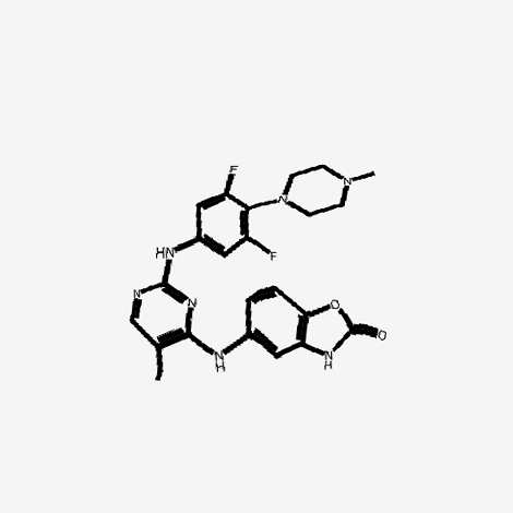 Cc1cnc(Nc2cc(F)c(N3CCN(C)CC3)c(F)c2)nc1Nc1ccc2oc(=O)[nH]c2c1